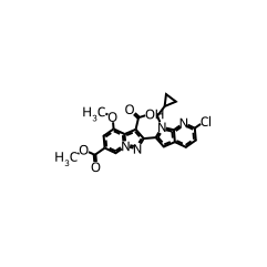 COC(=O)c1cc(OC)c2c(C(=O)O)c(-c3cc4ccc(Cl)nc4n3CC3CC3)nn2c1